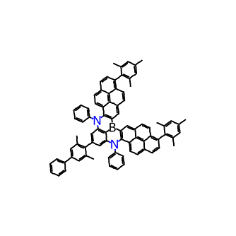 Cc1cc(C)c(-c2ccc3ccc4c5c(cc6ccc2c3c64)B2c3cc4ccc6c(-c7c(C)cc(C)cc7C)ccc7ccc(c3N(c3ccccc3)c3cc(-c8c(C)cc(-c9ccccc9)cc8C)cc(c32)N5c2ccccc2)c4c76)c(C)c1